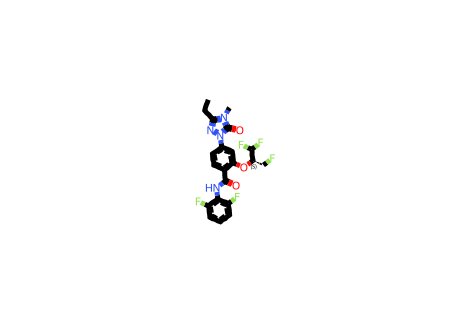 CCc1nn(-c2ccc(C(=O)Nc3c(F)cccc3F)c(O[C@@H](CF)C(F)F)c2)c(=O)n1C